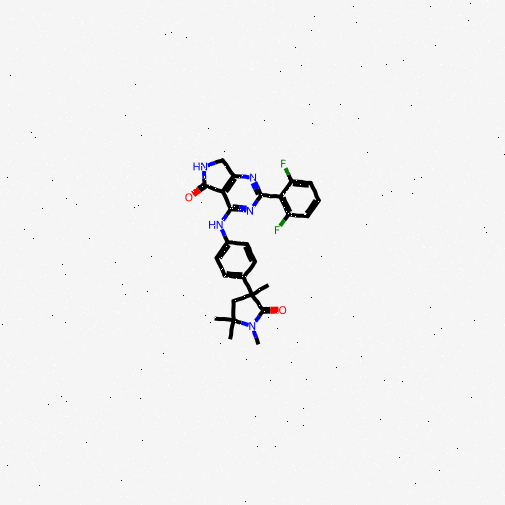 CN1C(=O)C(C)(c2ccc(Nc3nc(-c4c(F)cccc4F)nc4c3C(=O)NC4)cc2)CC1(C)C